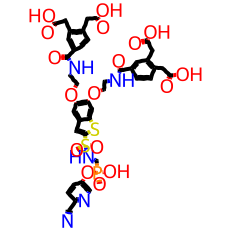 N#Cc1ccc(OP(=O)(O)CNS(=O)(=O)c2cc3cc(OCCNC(=O)c4ccc(CC(=O)O)c(CC(=O)O)c4)c(OCCNC(=O)c4ccc(CC(=O)O)c(CC(=O)O)c4)cc3s2)cn1